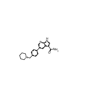 NC(=O)c1c[nH]c2ncc(-c3ccc(CN4CCCCC4)cc3)cc12